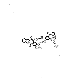 COc1cc2c(cc1OCCCOc1ccc3c(c1)N(COCC[Si](C)(C)C)C(=O)[C@@H]1CCCN1C3=O)N(COCC[Si](C)(C)C)C(=O)C1Cc3ccccc3CN1C2=O